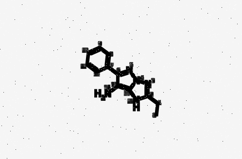 CCc1nn2nc(-c3ccccc3)c(N)c2[nH]1